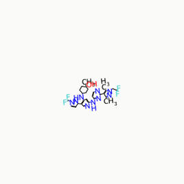 Cc1nn(CC(F)F)c(C)c1-c1nccc(Nc2cc(NC3CCC(C)(O)CC3)c(-c3ccn(C(F)F)n3)cn2)n1